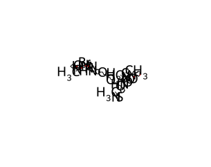 Cc1ncsc1-c1ccc(CNC(=O)[C@@H]2C[C@@H](O)CN2C(=O)[C@H](C(C)C)N2Cc3ccccc3C2=O)c(OCCCCOCCCCOc2ccc(Nc3ncc(Br)c(NCCCN(C)C(=O)C4CCC4)n3)cc2)c1